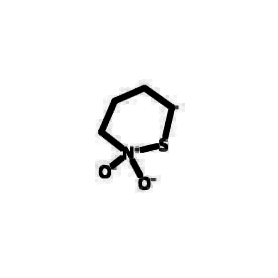 [O-][N+]1([O-])CCC[CH]S1